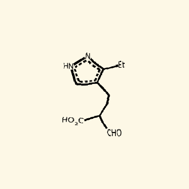 CCc1n[nH]cc1CC(C=O)C(=O)O